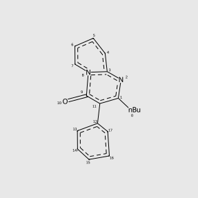 CCCCc1nc2ccccn2c(=O)c1-c1c[c]ccc1